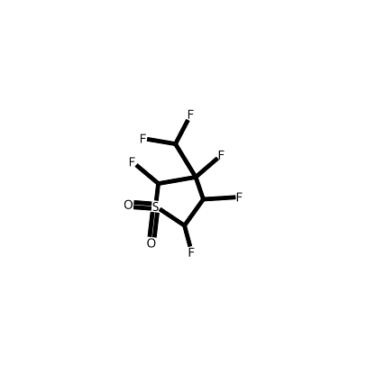 O=S1(=O)C(F)C(F)C(F)(C(F)F)C1F